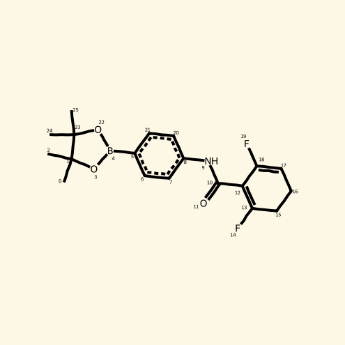 CC1(C)OB(c2ccc(NC(=O)C3=C(F)CCC=C3F)cc2)OC1(C)C